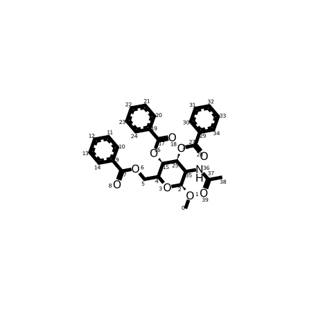 CO[C@@H]1OC(COC(=O)c2ccccc2)[C@H](OC(=O)c2ccccc2)[C@H](OC(=O)c2ccccc2)C1NC(C)=O